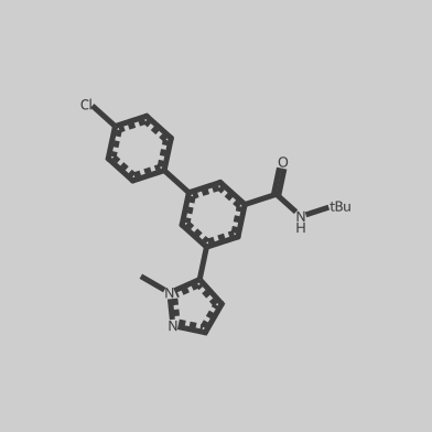 Cn1nccc1-c1cc(C(=O)NC(C)(C)C)cc(-c2ccc(Cl)cc2)c1